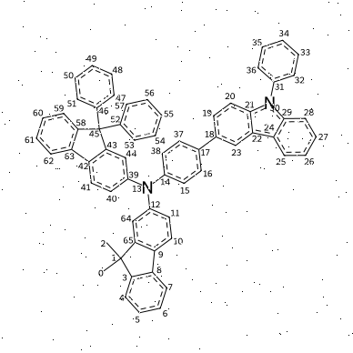 CC1(C)c2ccccc2-c2ccc(N(c3ccc(-c4ccc5c(c4)c4ccccc4n5-c4ccccc4)cc3)c3ccc4c(c3)C(c3ccccc3)(c3ccccc3)c3ccccc3-4)cc21